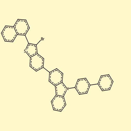 Brc1c(-c2cccc3ccccc23)sc2ccc(-c3ccc4c(c3)c3ccccc3n4-c3ccc(-c4ccccc4)cc3)cc12